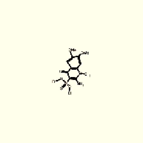 CCOP(=O)(OCC)c1c(N)n(C)c2cc(OC)c(OC)cc2c1=O